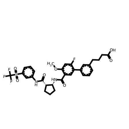 COc1cc(F)c(-c2cccc(CCCC(=O)O)c2)cc1C(=O)N[C@@H]1CCC[C@@H]1C(=O)Nc1cccc(S(=O)(=O)C(F)(F)F)c1